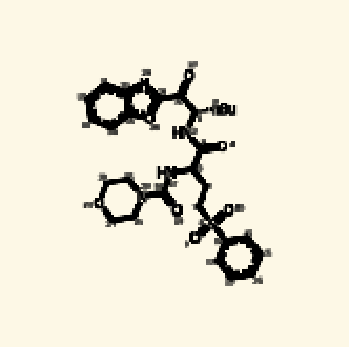 CCCC[C@H](NC(=O)C(CCS(=O)(=O)c1ccccc1)NC(=O)N1CCOCC1)C(=O)c1nc2ccccc2o1